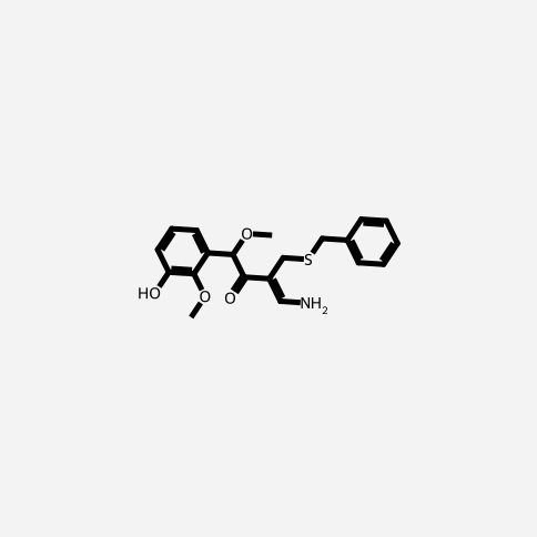 COc1c(O)cccc1C(OC)C(=O)/C(=C/N)CSCc1ccccc1